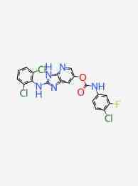 O=C(Nc1ccc(Cl)c(F)c1)Oc1cnc2[nH]c(Nc3c(Cl)cccc3Cl)nc2c1